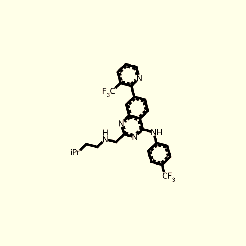 CC(C)CCNCc1nc(Nc2ccc(C(F)(F)F)cc2)c2ccc(-c3ncccc3C(F)(F)F)cc2n1